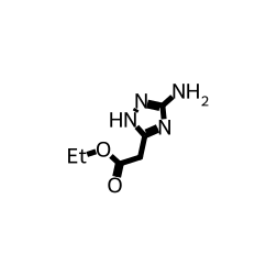 CCOC(=O)Cc1nc(N)n[nH]1